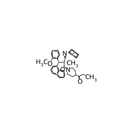 CCC(=O)C1CCN(C(=O)[C@](C)(C#N)[C@H](c2ccccc2OC)c2cccc3ccccc23)CC1.c1cc2ccc1-2